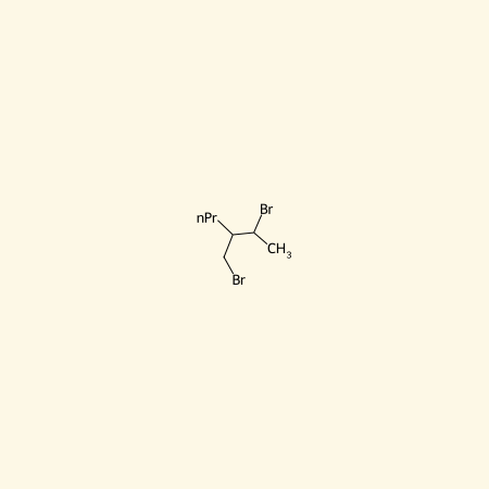 CCCC(CBr)C(C)Br